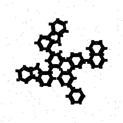 c1ccc(-c2cccc(-c3cc(-c4cccc5ccccc45)ccc3-c3nc(-c4cccc5c4oc4ccccc45)cc(-c4cccc5c4oc4ccccc45)n3)c2)cc1